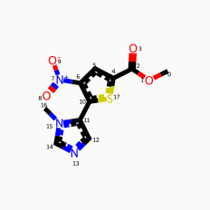 COC(=O)c1cc([N+](=O)[O-])c(-c2cncn2C)s1